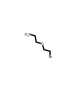 O=[N+]([O-])CCOCCBr